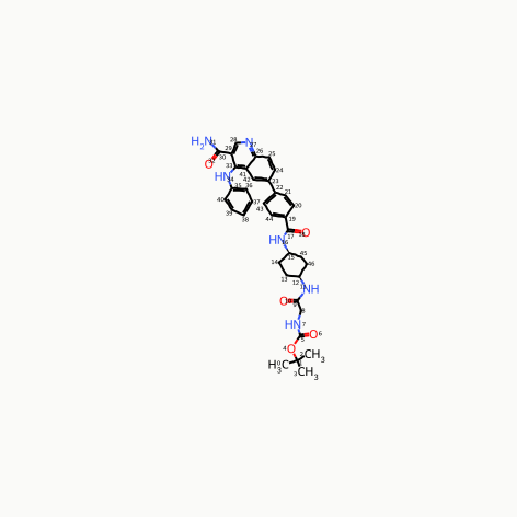 CC(C)(C)OC(=O)NCC(=O)N[C@H]1CC[C@@H](NC(=O)c2ccc(-c3ccc4ncc(C(N)=O)c(Nc5ccccc5)c4c3)cc2)CC1